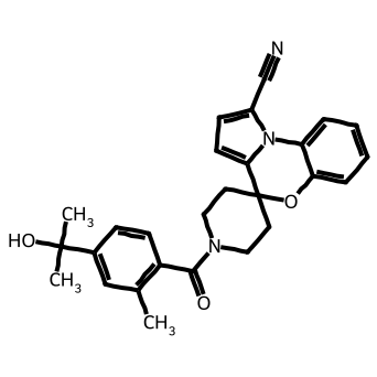 Cc1cc(C(C)(C)O)ccc1C(=O)N1CCC2(CC1)Oc1ccccc1-n1c(C#N)ccc12